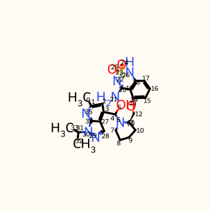 Cc1cc(C(O)N2CCCC[C@@H]2COc2cccc3c2C(N)=NS(=O)(=O)N3)c2cnn(C(C)C)c2n1